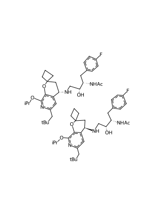 CC(=O)N[C@@H](Cc1ccc(F)cc1)[C@H](O)CN[C@@H]1CC2(CCC2)Oc2c1cc(CC(C)(C)C)nc2OC(C)C.CC(=O)N[C@@H](Cc1ccc(F)cc1)[C@H](O)CN[C@H]1CC2(CCC2)Oc2c1cc(CC(C)(C)C)nc2OC(C)C